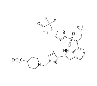 CCOC(=O)C1CCN(Cc2cnc(-c3cc4cccc(N(CC5CC5)S(=O)(=O)c5cccs5)c4[nH]3)s2)CC1.O=C(O)C(F)(F)F